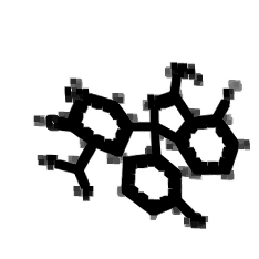 NC1=NC(c2cccc(Br)c2)(c2c[nH]c(=O)c(C(F)F)c2)c2cccc(F)c21